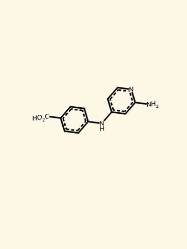 Nc1cc(Nc2ccc(C(=O)O)cc2)ccn1